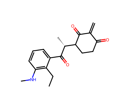 C=C1C(=O)CCC([C@@H](C)C(=O)c2cccc(NC)c2CC)C1=O